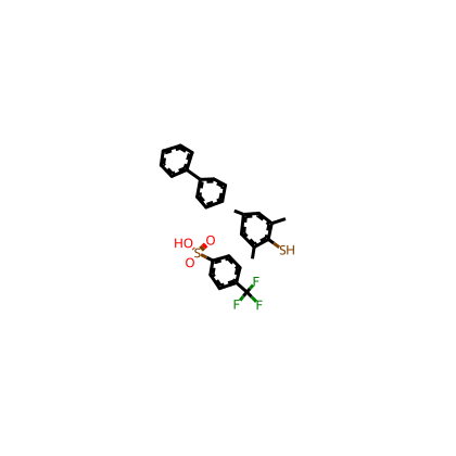 Cc1cc(C)c(S)c(C)c1.O=S(=O)(O)c1ccc(C(F)(F)F)cc1.c1ccc(-c2ccccc2)cc1